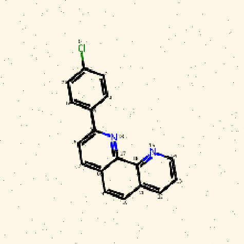 Clc1ccc(-c2ccc3ccc4cccnc4c3n2)cc1